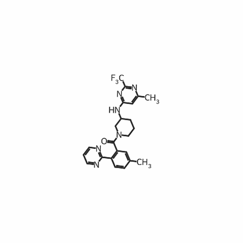 Cc1ccc(-c2ncccn2)c(C(=O)N2CCCC(Nc3cc(C)nc(C(F)(F)F)n3)C2)c1